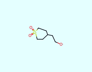 [O]CCC1CCS(=O)(=O)CC1